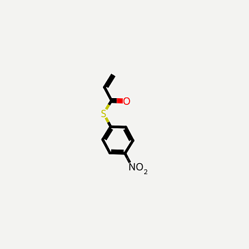 C=CC(=O)Sc1ccc([N+](=O)[O-])cc1